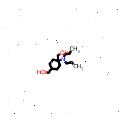 CCCN(CCC)C1(CO)CCC(CO)CC1